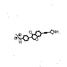 CS(=O)(=O)Nc1ccc(-c2coc3cc(C#CC4CNC4)ccc3c2=O)cc1